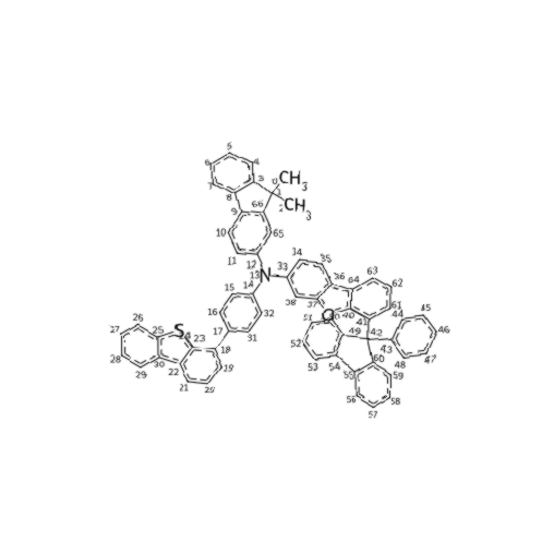 CC1(C)c2ccccc2-c2ccc(N(c3ccc(-c4cccc5c4sc4ccccc45)cc3)c3ccc4c(c3)oc3c(C5(c6ccccc6)c6ccccc6-c6ccccc65)cccc34)cc21